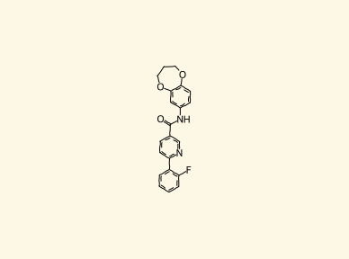 O=C(Nc1ccc2c(c1)OCCCO2)c1ccc(-c2ccccc2F)nc1